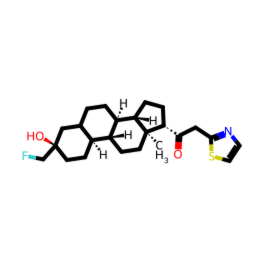 C[C@]12CC[C@H]3[C@@H](CCC4C[C@@](O)(CF)CC[C@@H]43)[C@@H]1CC[C@@H]2C(=O)Cc1nccs1